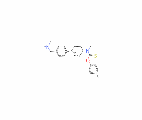 Cc1ccc(OC(=S)N(C)C2CCC(c3ccc(CN(C)C)cc3)CC2)cc1